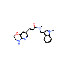 CN(Cc1cn(C)c2ccccc12)C(=O)/C=C/c1cnc2c(c1)OCCN2